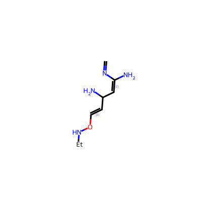 C=N/C(N)=C\C(N)/C=C/ONCC